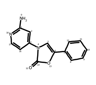 Nc1cc(-n2cc(-c3ccccc3)oc2=O)ccn1